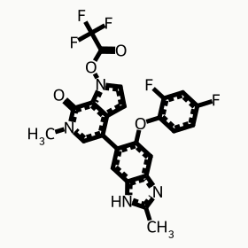 Cc1nc2cc(Oc3ccc(F)cc3F)c(-c3cn(C)c(=O)c4c3ccn4OC(=O)C(F)(F)F)cc2[nH]1